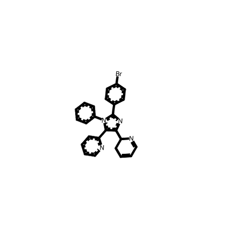 Brc1ccc(-c2nc(C3CC=CC=N3)c(-c3ccccn3)n2-c2ccccc2)cc1